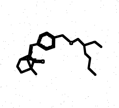 CCCCC(CC)COCc1ccc(/C=C2\C(=O)C3(C)CCC2C3(C)C)cc1